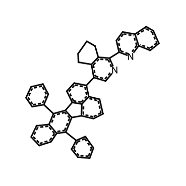 c1ccc(-c2c3c(c(-c4ccccc4)c4ccccc24)-c2ccc(-c4cnc(-c5ccc6ccccc6n5)c5c4CCCC5)c4cccc-3c24)cc1